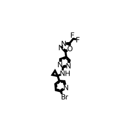 FC(F)c1nnc(-c2cnc(NC3(c4ccc(Br)nc4)CC3)nc2)o1